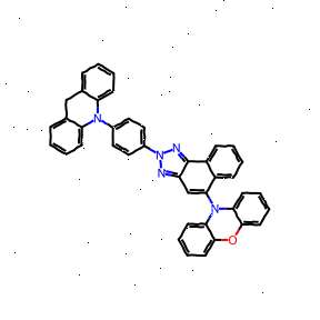 c1ccc2c(c1)Cc1ccccc1N2c1ccc(-n2nc3cc(N4c5ccccc5Oc5ccccc54)c4ccccc4c3n2)cc1